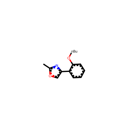 CCCCOc1ccccc1-c1coc(C)n1